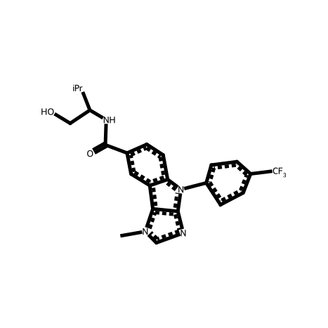 CC(C)C(CO)NC(=O)c1ccc2c(c1)c1c(ncn1C)n2-c1ccc(C(F)(F)F)cc1